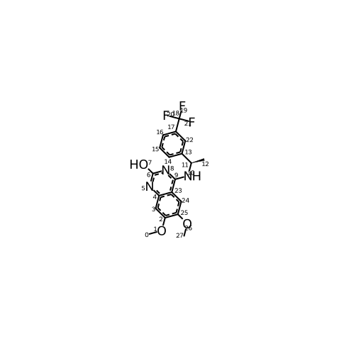 COc1cc2nc(O)nc(N[C@H](C)c3cccc(C(F)(F)F)c3)c2cc1OC